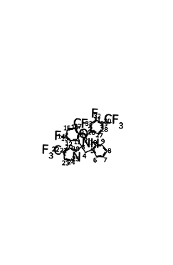 O=C(NC(Cc1ccccc1)(c1cc(F)cc(C(F)(F)F)c1)c1cc(C(F)(F)F)ccn1)c1ccc(C(F)(F)F)c(F)c1